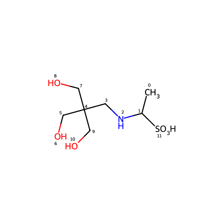 CC(NCC(CO)(CO)CO)S(=O)(=O)O